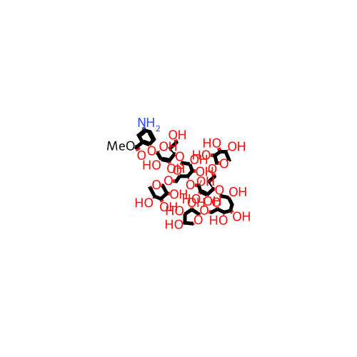 COC(=O)c1cc(N)ccc1O[C@H](O)/C(O)=C(/O)[C@@H](CCO)O[C@@H]1OC(CO[C@H]2OC[C@@H](O)C(O)C2O)[C@@H](O[C@H](O)/C(O)=C(/O)[C@@H](CCO[C@H]2OC[C@@H](O)C(O)C2O)O[C@@H]2OC(CO[C@H]3OC[C@@H](O)C(O)C3O)[C@@H](O)C(O)CC2O)C(O)C1O